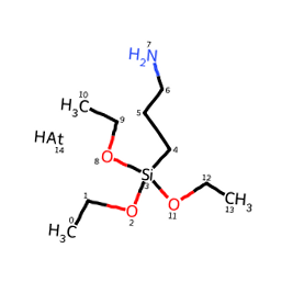 CCO[Si](CCCN)(OCC)OCC.[AtH]